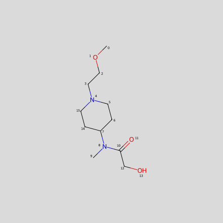 COCCN1CCC(N(C)C(=O)CO)CC1